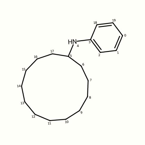 c1ccc(NC2CCCCCCCCCCCC2)cc1